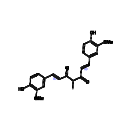 COc1cc(/C=C/C(=O)C(C)C(=O)/C=C/c2ccc(O)c(OC)c2)ccc1O